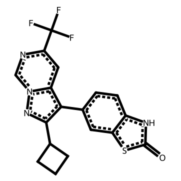 O=c1[nH]c2ccc(-c3c(C4CCC4)nn4cnc(C(F)(F)F)cc34)cc2s1